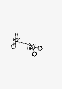 Cc1[nH]nc(N2CCCCC2)c1CCCCCSc1nc(-c2ccccc2)c(-c2ccccc2)[nH]1